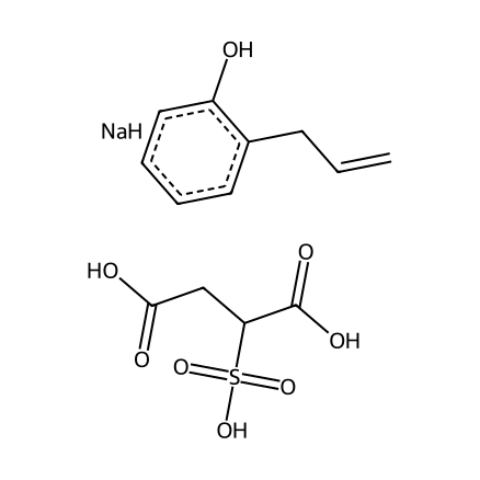 C=CCc1ccccc1O.O=C(O)CC(C(=O)O)S(=O)(=O)O.[NaH]